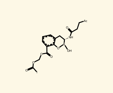 CC(=O)CCC(=O)N[C@H]1Cc2cccc(C(=O)OCOC(=O)I)c2OB1O